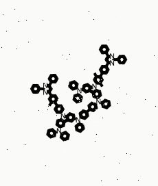 Cc1cc(-c2cc(-c3ccccc3)nc(-c3ccccc3)n2)ccc1-c1ccc(-n2c3ccc(N(c4ccccc4)c4ccccc4)cc3c3cc(N(c4ccccc4)c4ccc(-c5ccc(N(c6ccccc6)c6ccc7c(c6)c6cc(N(c8ccccc8)c8ccccc8)ccc6n7-c6cc(C)c(-c7ccc(-c8cc(-c9ccccc9)nc(-c9ccccc9)n8)cc7)cc6C)cc5)cc4)ccc32)cc1